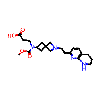 COC(=O)N(CCC(=O)O)C1CC2(C1)CN(CCc1ccc3c(n1)NCCC3)C2